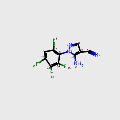 N#Cc1cnn(-c2c(F)cc(F)c(F)c2F)c1N